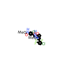 COC(=O)Nc1ccc(-c2cnc(C3(O)CCc4cc(-c5c(C(F)F)ccc(Cl)c5F)c[n+](OC)c43)[nH]2)c(Cl)c1